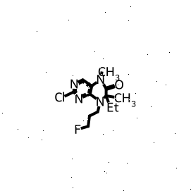 CCC1(C)C(=O)N(C)c2cnc(Cl)nc2N1CCCF